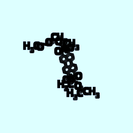 COCCOCC(C)OCC(C)N1C(=O)c2ccc3c4ccc5c6c(ccc(c7ccc(c2c37)C1=O)c64)C(=O)N(C(C)COCC(C)C)C5=O